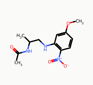 COc1ccc([N+](=O)[O-])c(NCC(C)NC(C)=O)c1